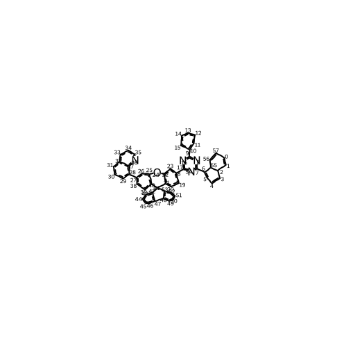 C1=CC2C=CC=C(c3nc(-c4ccccc4)nc(-c4ccc5c(c4)Oc4cc(-c6cccc7cccnc67)ccc4C54c5ccccc5-c5ccccc54)n3)C2C=C1